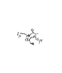 C=CCON(CC(F)(F)F)C(=O)C(C)NC(=O)O